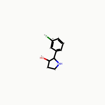 OC1CCNC1c1cccc(F)c1